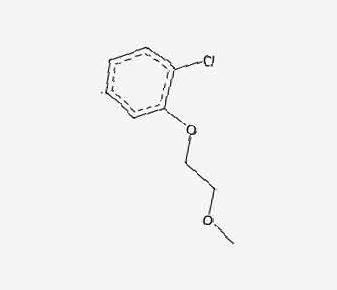 COCCOc1c[c]ccc1Cl